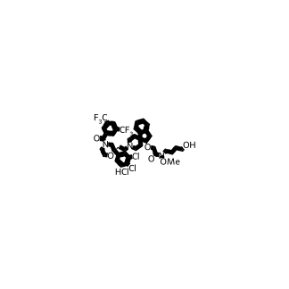 CON(CCCCO)C(=O)CO[C@H]1Cc2ccccc2C12CCN(CC[C@@]1(c3ccc(Cl)c(Cl)c3)CN(C(=O)c3cc(C(F)(F)F)cc(C(F)(F)F)c3)CCO1)CC2.Cl